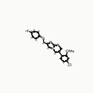 COc1cc(Cl)ccc1-c1cnc2nc(COc3ccc(F)cc3)cn2c1